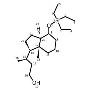 CC[Si](CC)(CC)OC1CCC[C@]2(C)[C@@H]([C@H](C)CCO)CC[C@@H]12